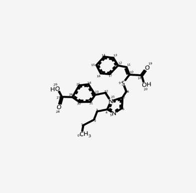 CCCCc1ncc(CSC(=Cc2ccccc2)C(=O)O)n1Cc1ccc(C(=O)O)cc1